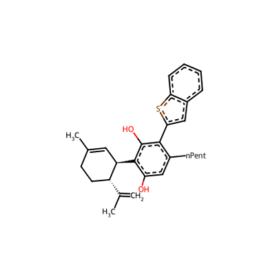 C=C(C)[C@@H]1CCC(C)=C[C@H]1c1c(O)cc(CCCCC)c(-c2cc3ccccc3s2)c1O